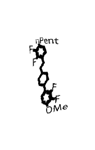 CCCCCc1ccc(CCC2CCC(c3ccc(OC)c(F)c3F)CC2)c(F)c1F